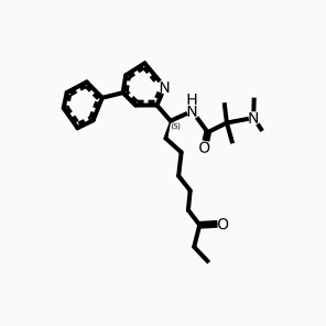 CCC(=O)CCCCC[C@H](NC(=O)C(C)(C)N(C)C)c1cc(-c2ccccc2)ccn1